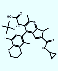 Cc1nc2c(cc(C(=O)NC3CC3)n2C)c(-c2cc(F)c3c(c2C)CCCO3)c1[C@H](OC(C)(C)C)C(=O)O